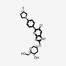 OC[C@H]1OC[C@H](Oc2nc3nc(-c4ccc(N5CC[C@H](F)C5)cc4)c(Cl)cc3[nH]2)C[C@@H]1O